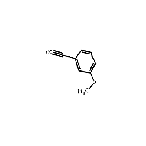 C#Cc1[c]ccc(OC)c1